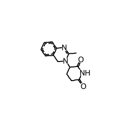 CC1=Nc2ccccc2CN1C1CCC(=O)NC1=O